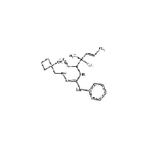 C=NC(N/C(=N\NCC1(C)CCC1)Nc1ccccc1)C(C)(C)C=CC